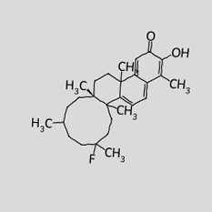 CC1=C(O)C(=O)C=C2C1=CC=C1C2(C)CC[C@@]2(C)CCC(C)CCC(C)(F)CCC12C